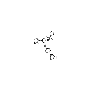 O=S(=O)(NC1CCN(c2cccnn2)CC1CO[C@H]1CC[C@@H](c2cccc(F)c2)CC1)N1CCCC1